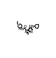 CCN1CCC(NC(=O)c2nn(C)c3ncc(NC4CCCCC4)cc23)CC1